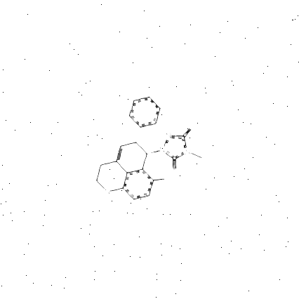 Cn1c(=O)[nH]n([C@H]2c3c(C(F)(F)F)ccc4c3C(=C[C@@H]2c2ccccc2)CCN4)c1=O